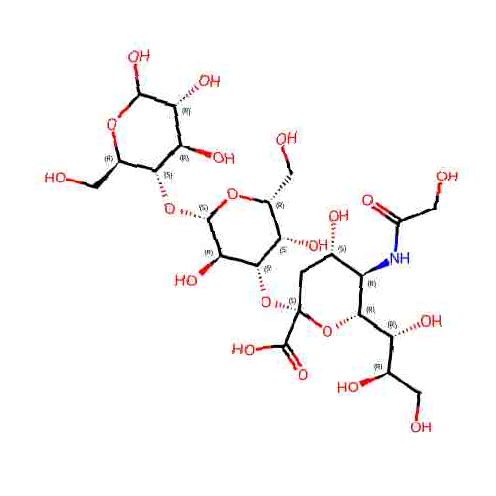 O=C(CO)N[C@H]1[C@H]([C@H](O)[C@H](O)CO)O[C@@](O[C@H]2[C@@H](O)[C@@H](CO)O[C@@H](O[C@H]3[C@H](O)[C@@H](O)C(O)O[C@@H]3CO)[C@@H]2O)(C(=O)O)C[C@@H]1O